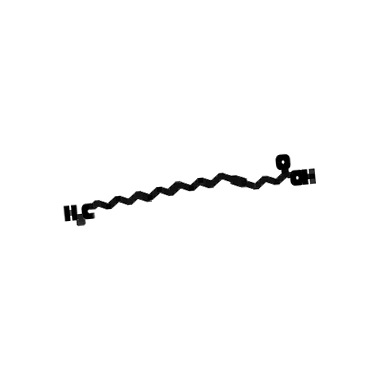 CCCCCC=CCC=CCC=CCC#CCCCC(=O)O